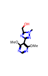 COc1ncnc(OC)c1-c1nc(CO)n(C)n1